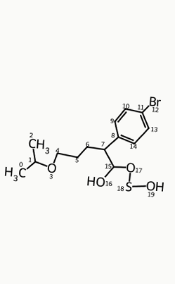 CC(C)OCCCC(c1ccc(Br)cc1)C(O)OSO